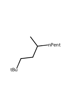 [CH2]CCCCC(C)CCC(C)(C)C